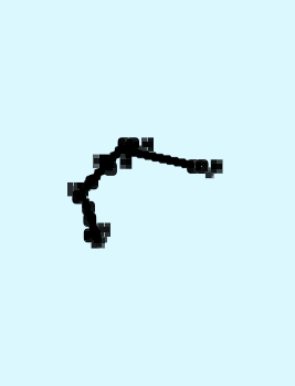 O=C(O)CCCCCCCCCCCCCCCCC(=O)N[C@@H](CCCCNC(=O)CCCCCOCCNC1O[C@H]1CCOCCOCCNC(=O)CBr)C(=O)O